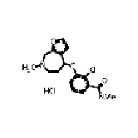 CNC(=O)c1cccc(OC2CCN(C)Cc3occc32)c1Cl.Cl